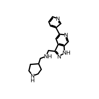 c1cncc(-c2cc3c(CNCC4CCNCC4)n[nH]c3cn2)c1